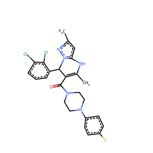 CC1=C(C(=O)N2CCN(c3ccc(F)cc3)CC2)C(c2cccc(Cl)c2Cl)n2nc(C(F)(F)F)cc2N1